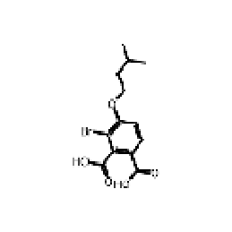 CC(C)CCOc1ccc(C(=O)O)c(C(=O)O)c1Br